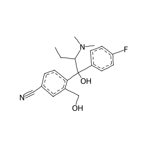 CCC(N(C)C)C(O)(c1ccc(F)cc1)c1ccc(C#N)cc1CO